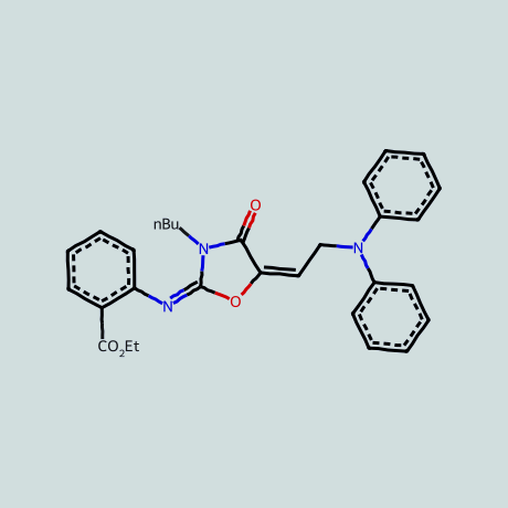 CCCCN1C(=O)/C(=C\CN(c2ccccc2)c2ccccc2)O/C1=N/c1ccccc1C(=O)OCC